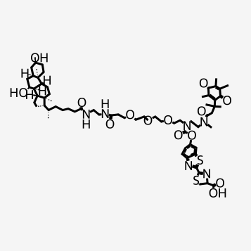 CC1=C(C)C(=O)C(C(C)(C)CC(=O)N(C)CCN(CCOCCOCCOCCC(=O)NCCNC(=O)CCCC[C@H](C)[C@@H]2CC[C@@H]3[C@@H]4[C@@H](CC[C@]32C)[C@]2(C)CC[C@H](O)C[C@@H]2C[C@@H]4O)C(=O)Oc2ccc3nc(C4=NC(C(=O)O)CS4)sc3c2)=C(C)C1=O